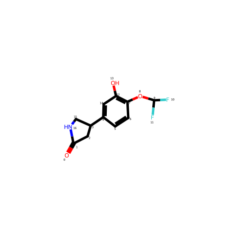 O=C1CC(c2ccc(OC(F)F)c(O)c2)CN1